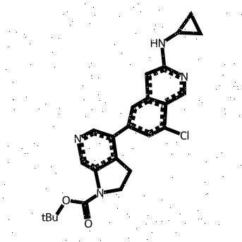 CC(C)(C)OC(=O)N1CCc2c(-c3cc(Cl)c4cnc(NC5CC5)cc4c3)cncc21